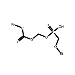 CCOCP(=O)(O)OCOC(=O)OC(C)C